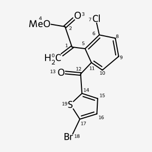 C=C(C(=O)OC)c1c(Cl)cccc1C(=O)c1ccc(Br)s1